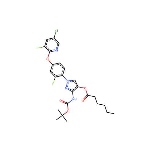 CCCCCC(=O)Oc1cn(-c2ccc(Oc3ncc(Cl)cc3F)cc2F)nc1NC(=O)OC(C)(C)C